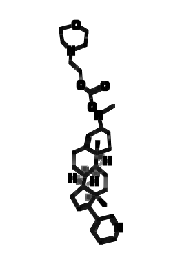 CN(OC(=O)OCCN1CCOCC1)C1C=C2CC[C@H]3[C@H](CC[C@]4(C)C(c5cccnc5)=CC[C@@H]34)[C@@]2(C)CC1